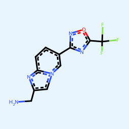 NCc1cn2cc(-c3noc(C(F)(F)F)n3)ccc2n1